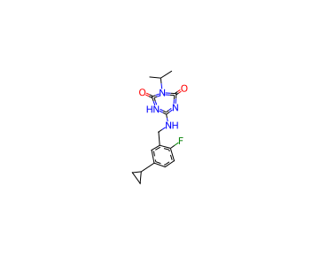 CC(C)n1c(=O)nc(NCc2cc(C3CC3)ccc2F)[nH]c1=O